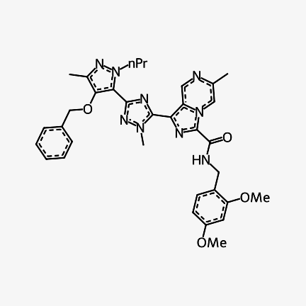 CCCn1nc(C)c(OCc2ccccc2)c1-c1nc(-c2nc(C(=O)NCc3ccc(OC)cc3OC)n3cc(C)ncc23)n(C)n1